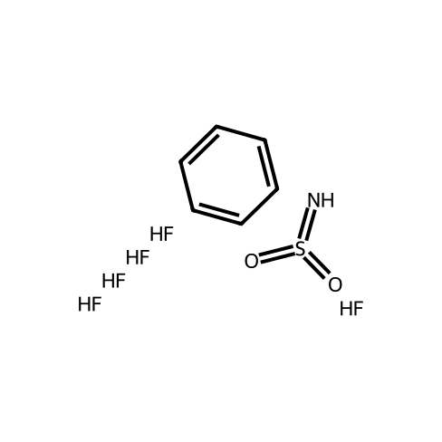 F.F.F.F.F.N=S(=O)=O.c1ccccc1